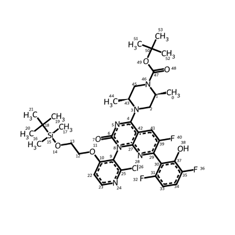 C[C@H]1CN(c2nc(=O)n(-c3c(OCCO[Si](C)(C)C(C)(C)C)ccnc3Cl)c3nc(-c4c(F)ccc(F)c4O)c(F)cc23)[C@@H](C)CN1C(=O)OC(C)(C)C